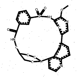 COc1ncc2cc1NS(=O)(=O)c1cccc(c1)C(=O)NCC1CCN(CC1)c1ccnc3ccc-2cc13